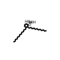 CCCCCCCCCCCCc1cccc(OP(O)O)c1CCCCCCCCCCCC